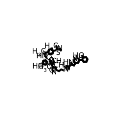 Cc1ncsc1-c1ccc([C@H](C)NC(=O)[C@@H]2C[C@@H](O)CN2C(=O)[C@](C)(c2cc(CCCN3CC(c4cc5cc(-c6ccccc6O)nnc5[nH]4)C3)no2)C(C)C)cc1